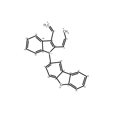 C=Cc1c(/C=C\C)n(-c2ccc3oc4ccccc4c3c2)c2ccccc12